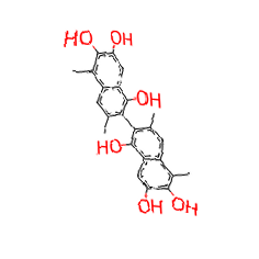 Cc1cc2c(C)c(O)c(O)cc2c(O)c1-c1c(C)cc2c(C)c(O)c(O)cc2c1O